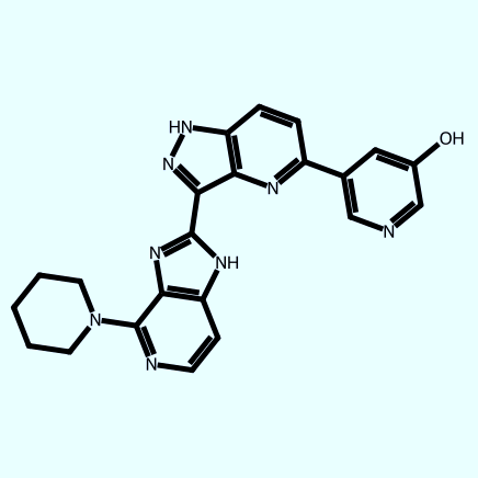 Oc1cncc(-c2ccc3[nH]nc(-c4nc5c(N6CCCCC6)nccc5[nH]4)c3n2)c1